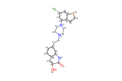 O=C1[N]c2cc(CCN3CCN(c4cc(F)cc5sccc45)CC3)ccc2C=C1O